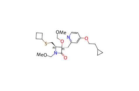 COCO[C@@]1(Cc2cc(OCCC3CC3)ccn2)C(=O)N(COC)[C@H]1CSC1CCC1